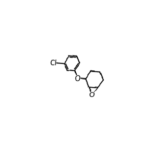 Clc1cccc(OC2CCCC3OC23)c1